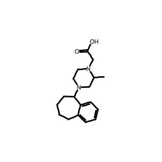 CC1CN(C2CCCCc3ccccc32)CCN1CC(=O)O